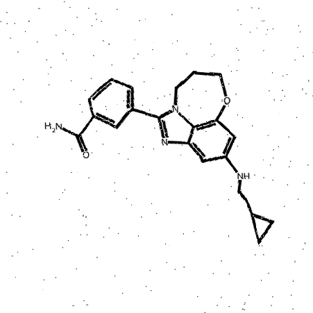 NC(=O)c1cccc(-c2nc3cc(NCC4CC4)cc4c3n2CCCO4)c1